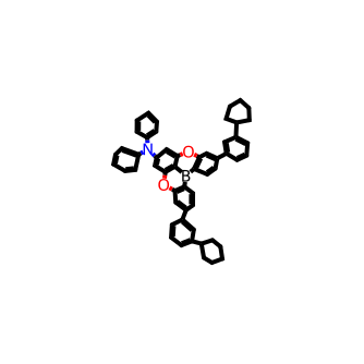 c1ccc(N(c2ccccc2)c2cc3c4c(c2)Oc2cc(-c5cccc(C6CCCCC6)c5)ccc2B4c2ccc(-c4cccc(C5CCCCC5)c4)cc2O3)cc1